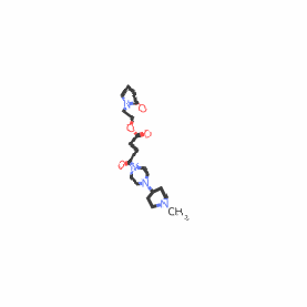 CN1CCC(N2CCN(C(=O)CCC(=O)OCCN3CCCC3=O)CC2)CC1